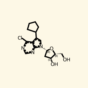 OC[C@H]1O[C@@H](n2cc(C3CCCC3)c3c(Cl)ncnc32)C[C@@H]1O